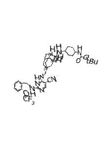 CC(C)(C)OC(=O)NC1CCC(N[C@H]2[C@@H]3CC4C[C@H]2C[C@@](CNc2nc(NCc5ccccc5OC(F)(F)F)ncc2C#N)(C4)C3)CC1